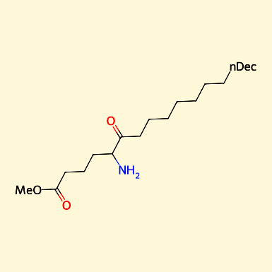 CCCCCCCCCCCCCCCCCC(=O)C(N)CCCC(=O)OC